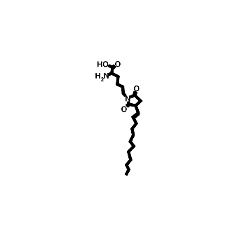 CCCCCCCCCCC=CC1CC(=O)N(CCCCC(N)C(=O)O)C1=O